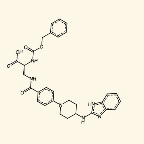 O=C(N[C@@H](CNC(=O)c1ccc(N2CCC(Nc3nc4ccccc4[nH]3)CC2)cc1)C(=O)O)OCc1ccccc1